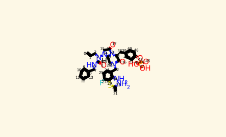 C=CCN(C(=O)NCc1ccccc1)N1CC(=O)N2[C@H]1CN(Cc1ccc(F)c(SC(=C)N)c1N)C(=O)[C@@H]2Cc1ccc(OP(=O)(O)O)cc1